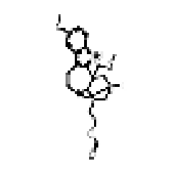 COC(=O)C12C[C@@H]3CC(CCOC=O)C1N(CCc1c2[nH]c2ccc(OC)cc12)C3